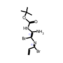 C=C/C(Br)=N\C(Br)=C(/N)NC(=O)OC(C)(C)C